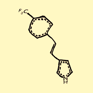 FC(F)(F)c1ccc(C=Cc2cc[nH]c2)cc1